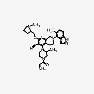 C=CC(=O)N1CCN(c2c(C#N)c(OCC3CCCN3C)nc3c2CCN(c2c(C)ccc4[nH]ncc24)C3)C(C)C1